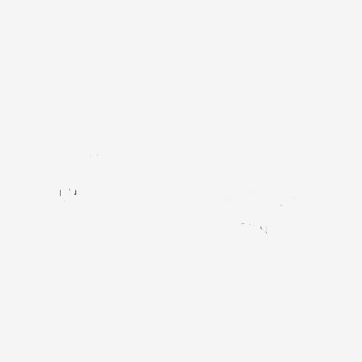 CC(C)c1cc(CCc2c[nH]c3ccccc23)cc(OC(N)=O)c1